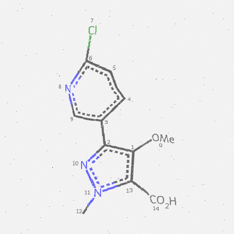 COc1c(-c2ccc(Cl)nc2)nn(C)c1C(=O)O